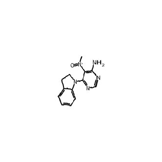 C[N+](=O)c1c(N)ncnc1N1CCc2ccccc21